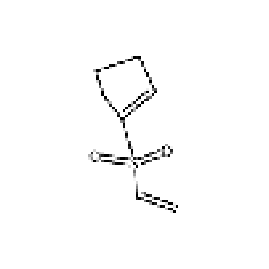 C=CS(=O)(=O)C1=CCCC1